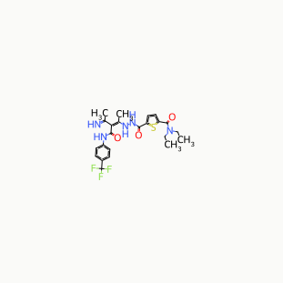 CCN(CC)C(=O)c1ccc(C(=O)NN/C(C)=C(/C(C)=N)C(=O)Nc2ccc(C(F)(F)F)cc2)s1